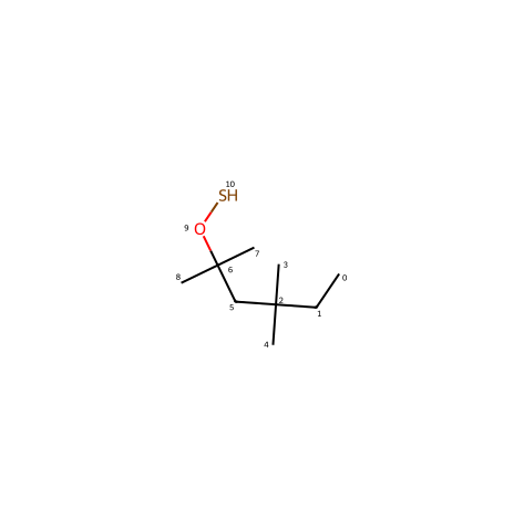 CCC(C)(C)CC(C)(C)OS